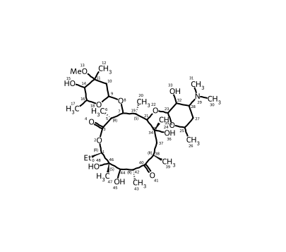 CC[C@H]1OC(=O)[C@H](C)C(OC2CC(C)(OC)C(O)C(C)O2)[C@H](C)C(OC2OC(C)CC(N(C)C)C2O)[C@](C)(O)C[C@@H](C)C(=O)[C@H](C)C(O)[C@]1(C)O